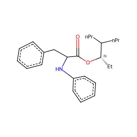 CCCC(CCC)[C@H](CC)OC(=O)C(Cc1ccccc1)Nc1ccccc1